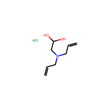 C=CCN(CC=C)CC(O)O.Cl